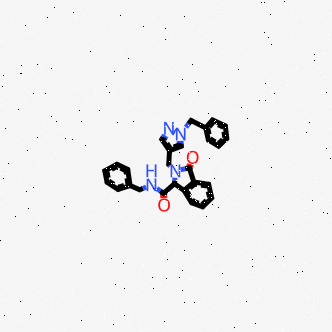 O=C(NCc1ccccc1)C1c2ccccc2C(=O)N1Cc1cnn(Cc2ccccc2)c1